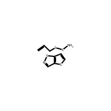 C=CCSSN.c1cc2sncc2s1